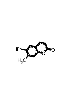 Cc1cc2oc(=O)ccc2cc1C(C)C